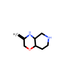 C=C1COC2CCNCC2N1